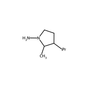 CC(C)C1CCN(N)C1C